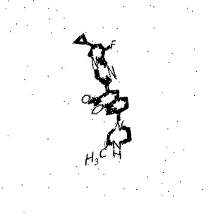 C[C@@H]1CN(c2ccc3cc(-c4cn5cc(C6CC6)cc(F)c5n4)c(=O)oc3c2)CCN1